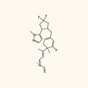 C=C/N=C\C=C(/C)C1(C)CC=C(CC2CC(F)(F)CC2c2ccnn2C)C=C1F